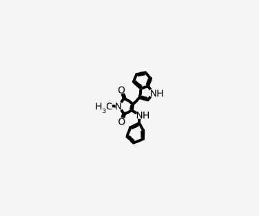 CN1C(=O)C(Nc2ccccc2)=C(c2c[nH]c3ccccc23)C1=O